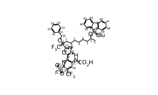 CC(CCCCCC[C@@](OCc1ccccc1)(c1nnc(-c2nc(S(C)(=O)=O)c(C(F)(F)F)cc2NC(=O)O)o1)C(F)(F)F)O[Si](c1ccccc1)(c1ccccc1)C(C)(C)C